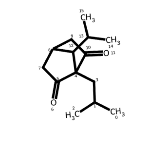 CC(C)CC12C(=O)CC(CC1=O)C2C(C)C